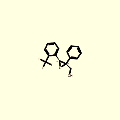 OC[C@@]1(c2ccccc2)O[C@H]1c1ccccc1C(F)(F)F